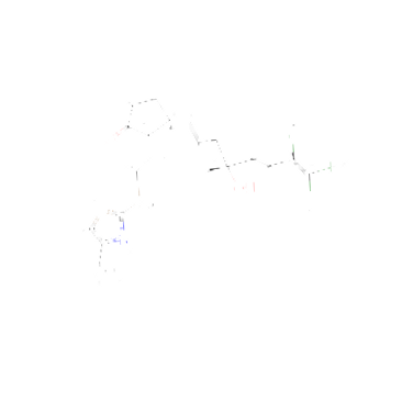 C[C@@](O)(CC=C[C@H]1CCC(=O)[C@H]1CCSc1nc(C(=O)O)cs1)CCC(F)=C(F)F